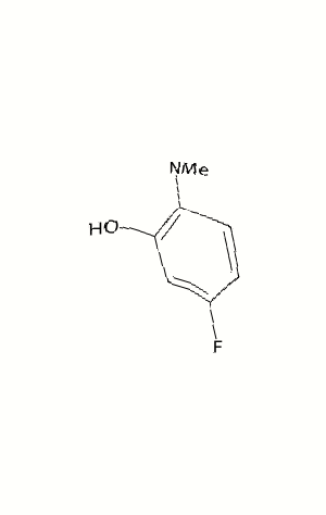 CNc1ccc(F)cc1O